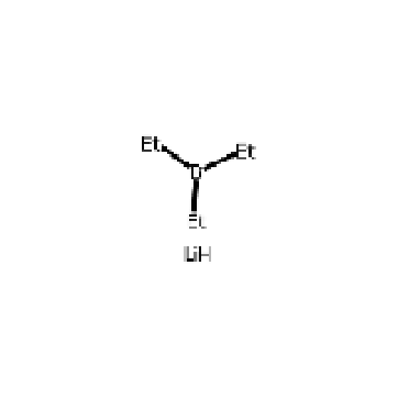 CCB(CC)CC.[LiH]